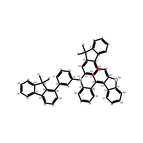 CC1(C)c2ccccc2-c2ccc(N(c3cccc(-c4cccc5c4C(C)(C)c4ccccc4-5)c3)c3ccccc3-c3cccc4oc5ccccc5c34)cc21